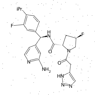 CC(C)c1ccc([C@@H](NC(=O)[C@@H]2C[C@@H](F)CN2C(=O)Cc2cnn[nH]2)c2ccnc(N)c2)cc1F